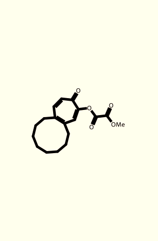 COC(=O)C(=O)Oc1cc2c(ccc1=O)CCCCCCCC2